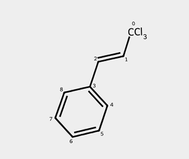 ClC(Cl)(Cl)C=Cc1ccccc1